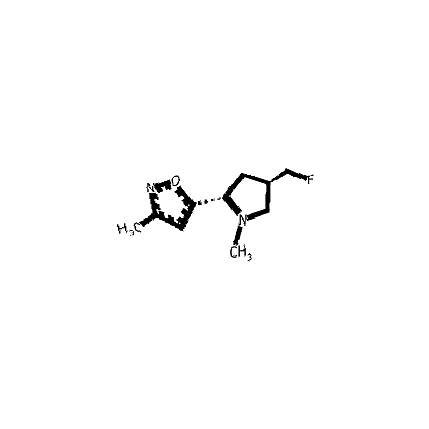 Cc1cc([C@@H]2C[C@@H](CF)CN2C)on1